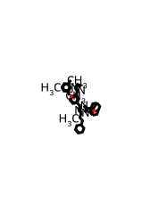 Cc1cc(C)c(-n2ccnc2-c2cccc(-c3nc(C(C)CC4CC=CCC4)nc(C45CC6CC(CC(C6)C4)C5)n3)c2)c(C)c1